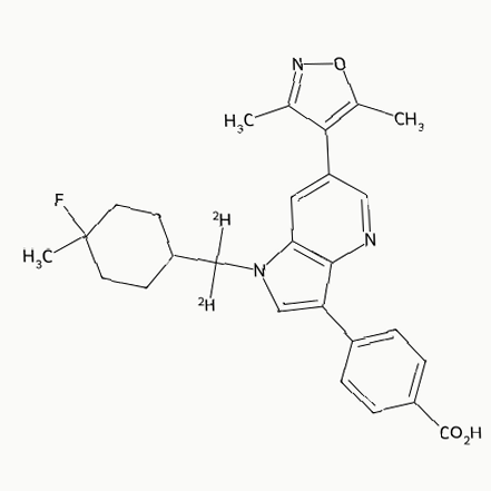 [2H]C([2H])(C1CCC(C)(F)CC1)n1cc(-c2ccc(C(=O)O)cc2)c2ncc(-c3c(C)noc3C)cc21